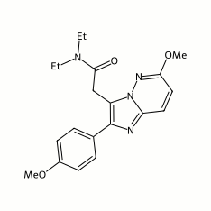 CCN(CC)C(=O)Cc1c(-c2ccc(OC)cc2)nc2ccc(OC)nn12